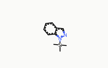 C[Si](C)(C)n1ncc2ccccc21